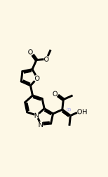 COC(=O)c1ccc(-c2ccn3ncc(/C(C(C)=O)=C(\C)O)c3c2)o1